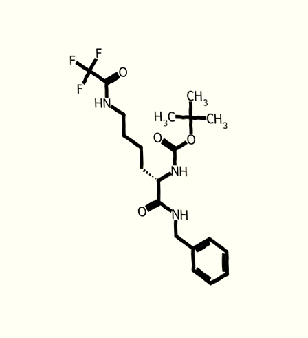 CC(C)(C)OC(=O)N[C@@H](CCCCNC(=O)C(F)(F)F)C(=O)NCc1ccccc1